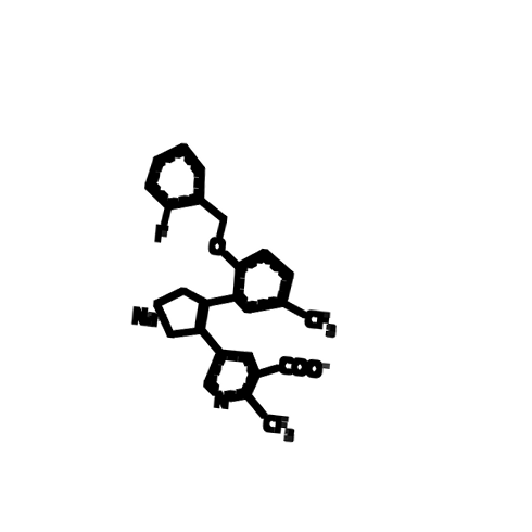 O=C([O-])c1cc(C2=C(c3cc(C(F)(F)F)ccc3OCc3ccccc3F)CCC2)cnc1C(F)(F)F.[Na+]